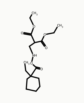 CCOC(=O)C(CNOC(=O)C1(CC)CCCCC1)C(=O)OCC